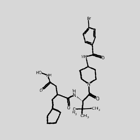 CC(C)(C)[C@H](NC(=O)C(CC(=O)NO)CC1CCCC1)C(=O)N1CCC(NC(=O)c2ccc(Br)cc2)CC1